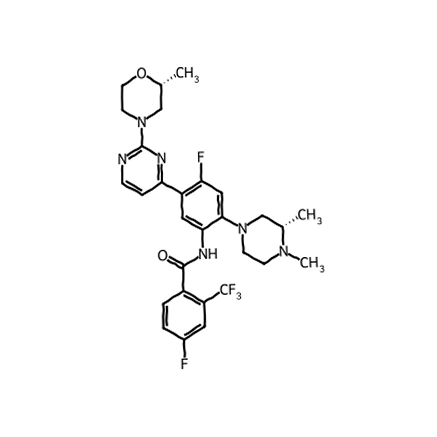 C[C@@H]1CN(c2nccc(-c3cc(NC(=O)c4ccc(F)cc4C(F)(F)F)c(N4CCN(C)[C@@H](C)C4)cc3F)n2)CCO1